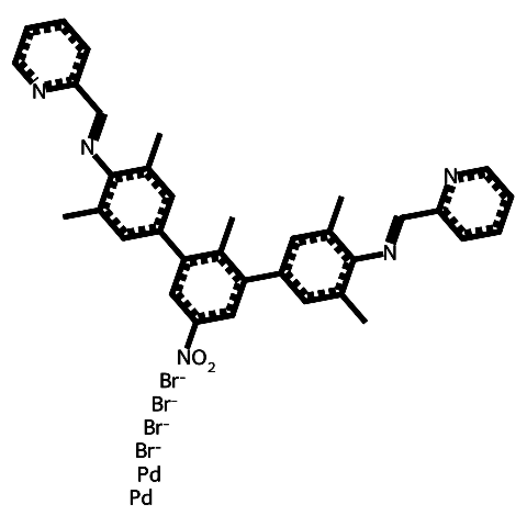 Cc1cc(-c2cc([N+](=O)[O-])cc(-c3cc(C)c(N=Cc4ccccn4)c(C)c3)c2C)cc(C)c1N=Cc1ccccn1.[Br-].[Br-].[Br-].[Br-].[Pd].[Pd]